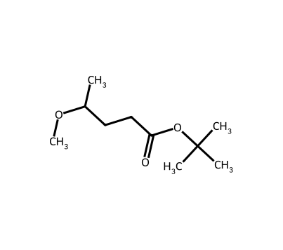 COC(C)CCC(=O)OC(C)(C)C